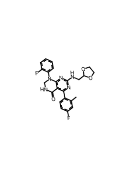 Cc1cc(F)ccc1-c1nc(NCC2OCCO2)nc2c1C(=O)NCN2c1ccccc1F